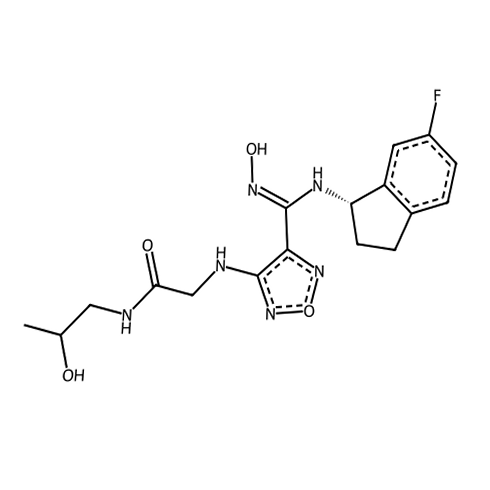 CC(O)CNC(=O)CNc1nonc1/C(=N/O)N[C@H]1CCc2ccc(F)cc21